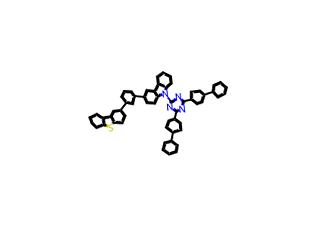 c1ccc(-c2ccc(-c3nc(-c4ccc(-c5ccccc5)cc4)nc(-n4c5ccccc5c5cc(-c6cccc(-c7ccc8sc9ccccc9c8c7)c6)ccc54)n3)cc2)cc1